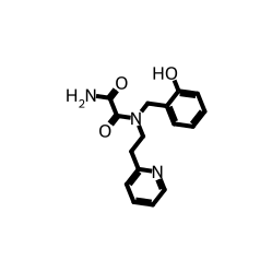 NC(=O)C(=O)N(CCc1ccccn1)Cc1ccccc1O